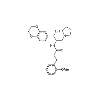 COc1ccccc1CCC(=O)NC(CN1CCCC1)C(O)c1ccc2c(c1)OCCO2